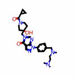 CN(C)CCN(C)Cc1ccc(-n2ncc3c(=O)n(CC4(O)CCN(C(=O)C5CC5)CC4)cnc32)cc1